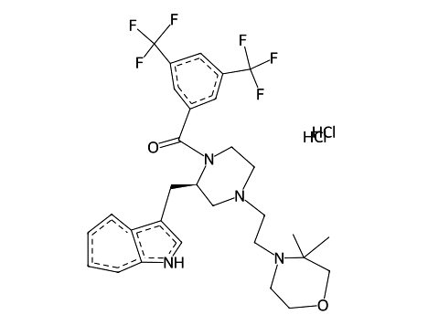 CC1(C)COCCN1CCN1CCN(C(=O)c2cc(C(F)(F)F)cc(C(F)(F)F)c2)[C@H](Cc2c[nH]c3ccccc23)C1.Cl.Cl